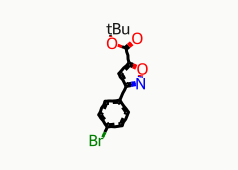 CC(C)(C)OC(=O)c1cc(-c2ccc(Br)cc2)no1